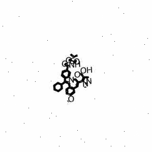 COc1ccc2c(c1)C=C(c1c(C(=O)O)cnn1C)Cn1c-2c(C2CCCCC2)c2ccc(C(=O)NS(=O)(=O)C(C)C)cc21